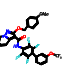 COc1ccc(COc2nn3ccccc3c2C(=O)Nc2c(F)c(F)c(-c3cccc(OC(F)(F)F)c3)c(F)c2F)cc1